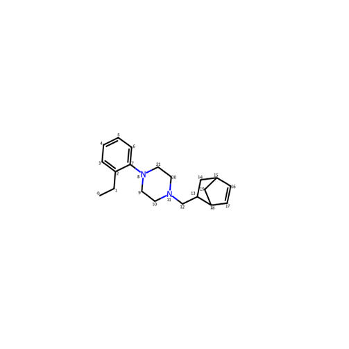 CCc1ccccc1N1CCN(CC2CC3C=CC2C3)CC1